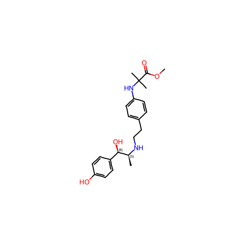 COC(=O)C(C)(C)Nc1ccc(CCN[C@@H](C)[C@H](O)c2ccc(O)cc2)cc1